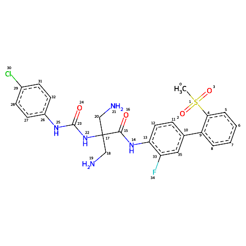 CS(=O)(=O)c1ccccc1-c1ccc(NC(=O)C(CN)(CN)NC(=O)Nc2ccc(Cl)cc2)c(F)c1